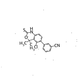 CC1(C)OC(=S)Nc2ccc(-c3cccc(C#N)c3)c(Cl)c21